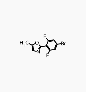 Cc1cnc(-c2c(F)cc(Br)cc2F)o1